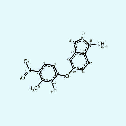 Cc1c([N+](=O)[O-])ccc(Oc2ccc3c(c2)nnn3C)c1F